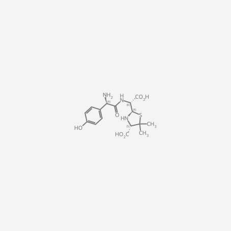 CC1(C)S[C@H]([C@H](NC(=O)[C@H](N)c2ccc(O)cc2)C(=O)O)N[C@H]1C(=O)O